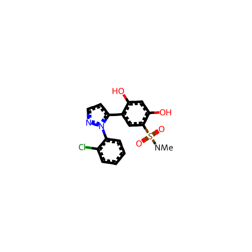 CNS(=O)(=O)c1cc(-c2ccnn2-c2ccccc2Cl)c(O)cc1O